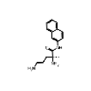 C[C@](N)(CCCN)C(=O)Nc1ccc2ccccc2c1